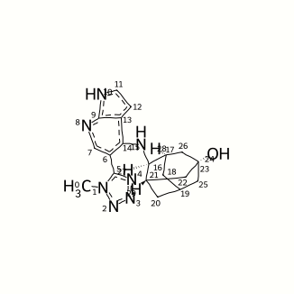 Cn1nnnc1-c1cnc2[nH]ccc2c1N[C@H]1[C@@H]2CC3C[C@H]1C[C@](O)(C3)C2